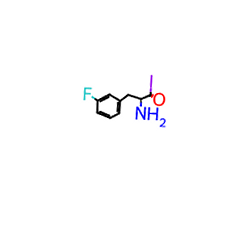 N[C@@H](Cc1cccc(F)c1)C(=O)I